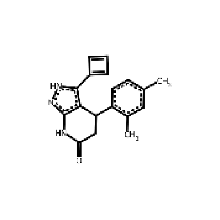 Cc1ccc(C2CC(=O)Nc3n[nH]c(C4=CC=C4)c32)c(C)c1